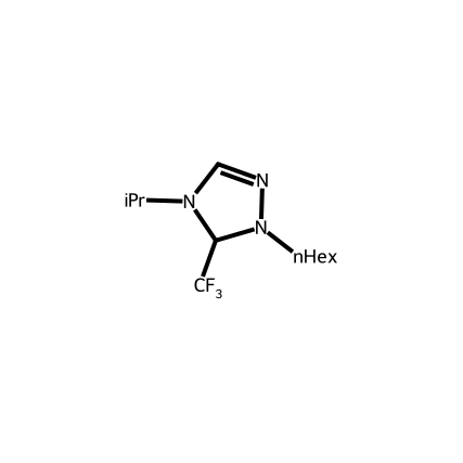 CCCCCCN1N=CN(C(C)C)C1C(F)(F)F